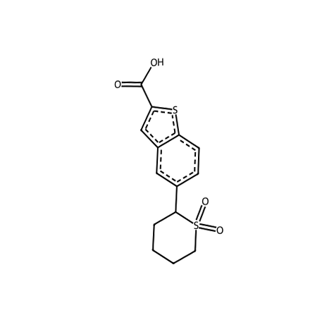 O=C(O)c1cc2cc(C3CCCCS3(=O)=O)ccc2s1